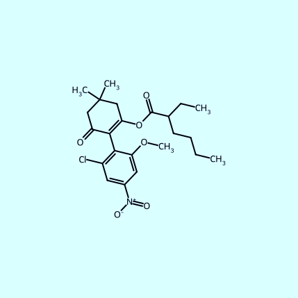 CCCCC(CC)C(=O)OC1=C(c2c(Cl)cc([N+](=O)[O-])cc2OC)C(=O)CC(C)(C)C1